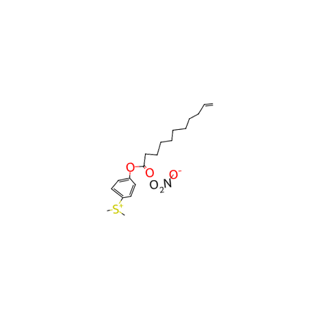 C=CCCCCCCCCC(=O)Oc1ccc([S+](C)C)cc1.O=[N+]([O-])[O-]